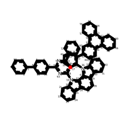 c1ccc(-c2ccc(-c3nc(-c4ccccc4)nc(-n4c5ccccc5c5ccc6c7ccccc7n(-c7ccccc7-c7ccc8c9ccccc9c9ccccc9c8c7)c6c54)n3)cc2)cc1